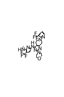 CNc1nc(Nc2nc(N3CCOCC3)nc3c2CCN(c2ncccc2C(F)(F)F)CC3)ccc1C(F)(F)F